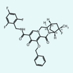 C[C@]1(F)C[C@@H]2C[C@H]1N1C(=O)c3c(OCc4ccccc4)c(=O)c(C(=O)NCc4c(F)cc(F)cc4F)cn3C[C@@H]21